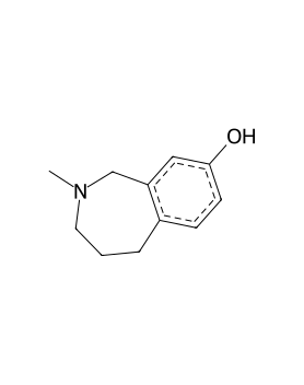 CN1CCCc2ccc(O)cc2C1